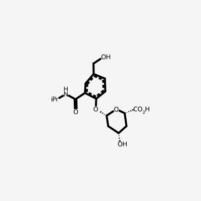 CC(C)NC(=O)c1cc(CO)ccc1O[C@H]1C[C@@H](O)C[C@@H](C(=O)O)O1